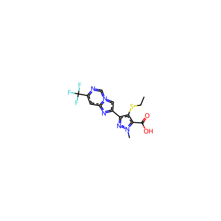 CCSc1c(-c2cn3cnc(C(F)(F)F)cc3n2)nn(C)c1C(=O)O